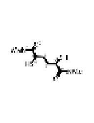 CNC(=O)C(S)CCC(S)C(=O)NC